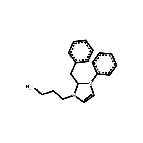 CCCCN1C=CN(c2ccccc2)C1Cc1ccccc1